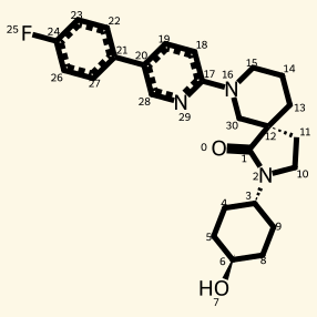 O=C1N([C@H]2CC[C@H](O)CC2)CC[C@]12CCCN(c1ccc(-c3ccc(F)cc3)cn1)C2